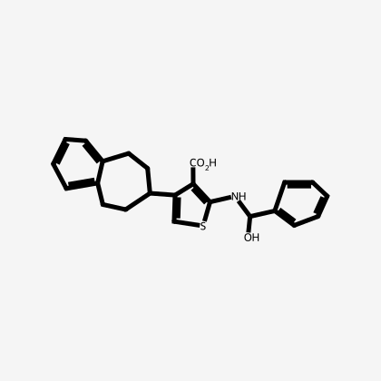 O=C(O)c1c(C2CCc3ccccc3CC2)csc1NC(O)c1ccccc1